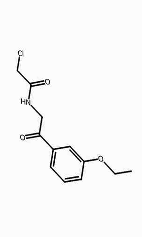 CCOc1cccc(C(=O)CNC(=O)CCl)c1